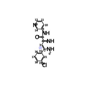 CN/C(=C\C(=N)C(=O)Nc1cccnc1)c1cccc(Cl)c1